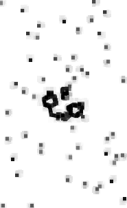 [Cl-].[Cl-].c1cc([CH2][Pt+2][CH2]c2ccncc2)ccn1